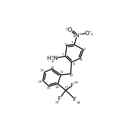 Nc1cc([N+](=O)[O-])ccc1Cc1ccccc1C(F)(F)F